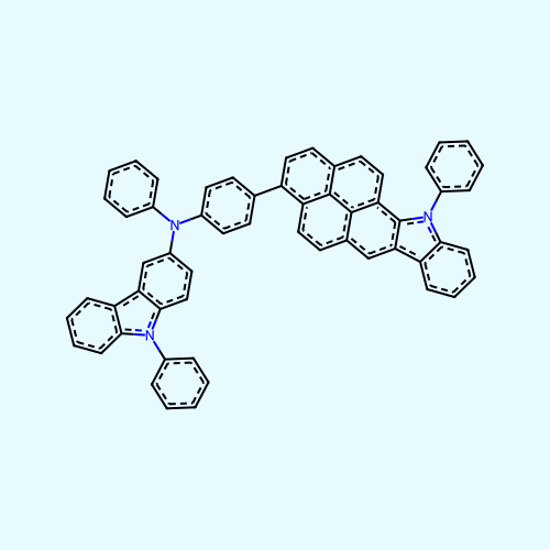 c1ccc(N(c2ccc(-c3ccc4ccc5c6c(ccc3c46)cc3c4ccccc4n(-c4ccccc4)c35)cc2)c2ccc3c(c2)c2ccccc2n3-c2ccccc2)cc1